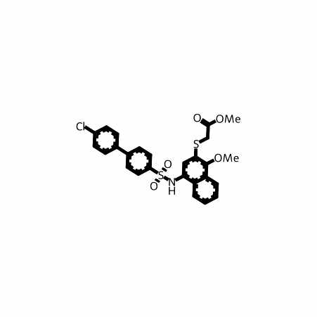 COC(=O)CSc1cc(NS(=O)(=O)c2ccc(-c3ccc(Cl)cc3)cc2)c2ccccc2c1OC